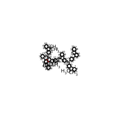 CC1(C)c2ccccc2-c2cc(N(c3ccc(-c4cccc5c4sc4ccccc45)cc3)c3ccc4c(c3)-c3ccccc3C4(C)Cc3ccc4c(c3)-c3cc(N(c5ccc6c(c5)-c5ccccc5C6(C)C)c5ccccc5-c5ccc6c(c5)oc5ccccc56)ccc3C4(C)C)ccc21